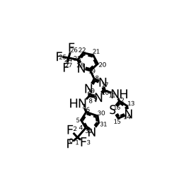 FC(F)(F)c1cc(Nc2nc(Nc3cncs3)nc(-c3cccc(C(F)(F)F)n3)n2)ccn1